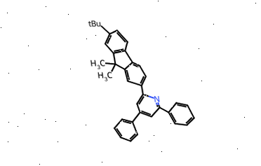 CC(C)(C)c1ccc2c(c1)C(C)(C)c1cc(-c3cc(-c4ccccc4)cc(-c4ccccc4)n3)ccc1-2